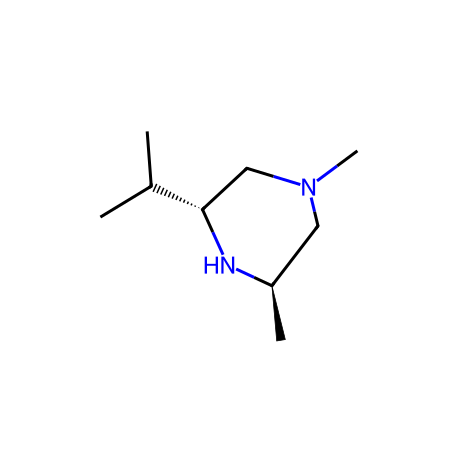 CC(C)[C@@H]1CN(C)C[C@@H](C)N1